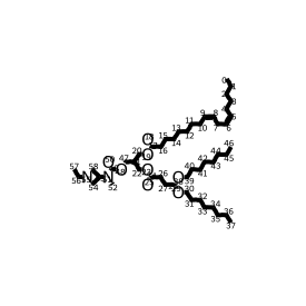 CCCCC/C=C\C/C=C\CCCCCCCC(=O)OCC(COC(=O)CCC(OCCCCCCCC)OCCCCCCCC)COC(=O)N(C)C1CN(CC)C1